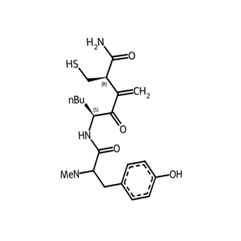 C=C(C(=O)[C@H](CCCC)NC(=O)C(Cc1ccc(O)cc1)NC)[C@@H](CS)C(N)=O